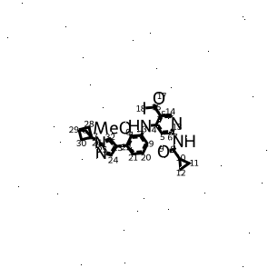 COc1c(Nc2cc(NC(=O)C3CC3)ncc2C(=O)I)cccc1-c1cnn(C23CC(C2)C3)c1